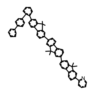 CC1(C)c2cc(-c3ccc4c(c3)C(C)(C)c3cc(-c5ccccn5)ccc3-4)ccc2-c2ccc(-c3ccc4c(c3)C(C)(C)c3cc(-c5ccccc5-c5ccc(-c6ccccc6)cc5)ccc3-4)cc21